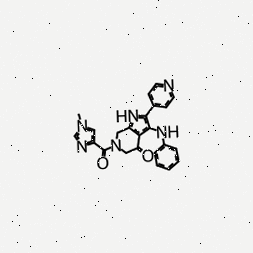 Cn1cnc(C(=O)N2CC(=O)c3c([nH]c(-c4ccncc4)c3Nc3ccccc3)C2)c1